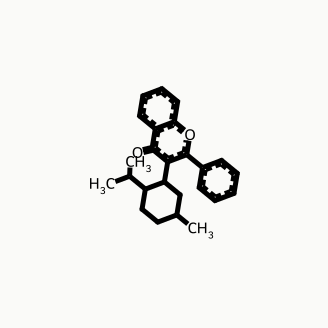 CC1CCC(C(C)C)C(c2c(-c3ccccc3)oc3ccccc3c2=O)C1